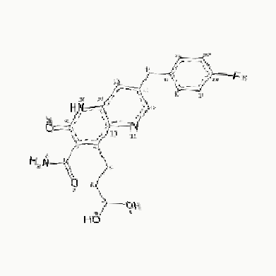 NC(=O)c1c(CCC(O)O)c2ncc(Cc3ccc(F)cc3)cc2[nH]c1=O